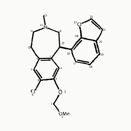 COCOc1cc2c(cc1Cl)CCN(C)CC2c1cccc2ccoc12